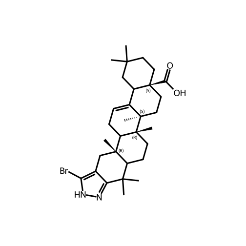 CC1(C)CC[C@]2(C(=O)O)CC[C@]3(C)C(=CCC4[C@@]5(C)Cc6c(n[nH]c6Br)C(C)(C)C5CC[C@]43C)C2C1